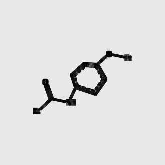 CCOc1ccc(NC(=O)CC)cc1